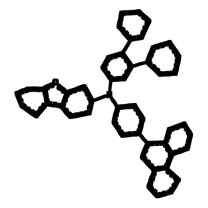 c1ccc(-c2ccc(N(c3ccc(-c4cc5ccccc5c5ccccc45)cc3)c3ccc4c(c3)oc3ccccc34)cc2-c2ccccc2)cc1